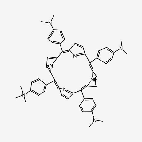 CN(C)c1ccc(-c2c3nc(c(-c4ccc(N(C)C)cc4)c4ccc([nH]4)c(-c4ccc([N+](C)(C)C)cc4)c4nc(c(-c5ccc(N(C)C)cc5)c5ccc2[nH]5)C=C4)C=C3)cc1